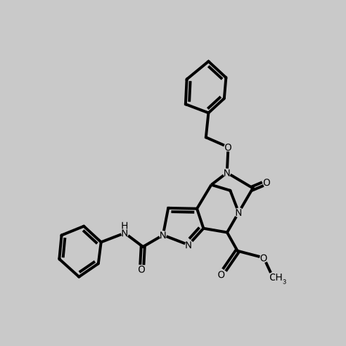 COC(=O)C1c2nn(C(=O)Nc3ccccc3)cc2C2CN1C(=O)N2OCc1ccccc1